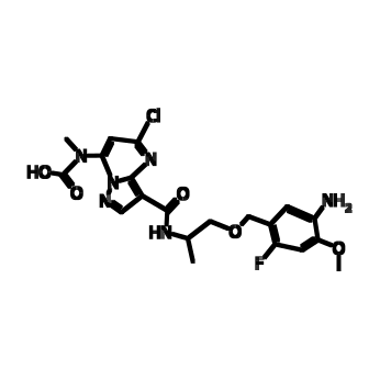 COc1cc(F)c(COCC(C)NC(=O)c2cnn3c(N(C)C(=O)O)cc(Cl)nc23)cc1N